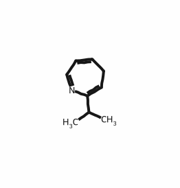 CC(C)C1=CCC=CC=N1